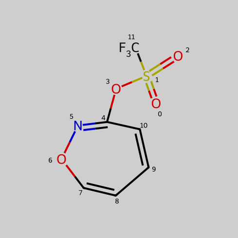 O=S(=O)(OC1=NOC=CC=C1)C(F)(F)F